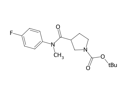 CN(C(=O)C1CCN(C(=O)OC(C)(C)C)C1)c1ccc(F)cc1